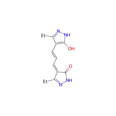 CCC1=NNC(=O)C1=CC=Cc1c(CC)n[nH]c1O